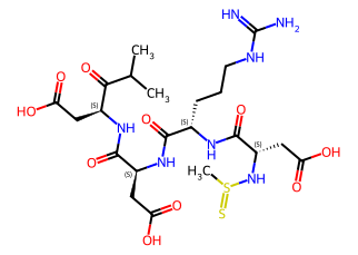 CC(C)C(=O)[C@H](CC(=O)O)NC(=O)[C@H](CC(=O)O)NC(=O)[C@H](CCCNC(=N)N)NC(=O)[C@H](CC(=O)O)NS(C)=S